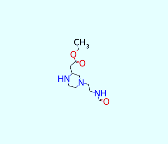 CCOC(=O)CC1CN(CCNC=O)CCN1